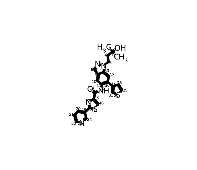 CC(C)(O)CCn1ncc2cc(NC(=O)c3csc(-c4cccnc4)n3)c(-c3ccsc3)cc21